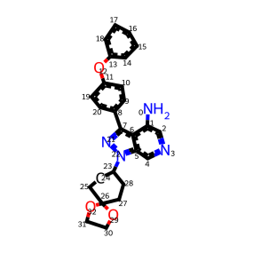 Nc1cncc2c1c(-c1ccc(Oc3ccccc3)cc1)nn2C1CCC2(CC1)OCCO2